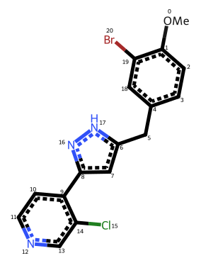 COc1ccc(Cc2cc(-c3ccncc3Cl)n[nH]2)cc1Br